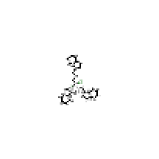 [Cl][Zr]([Cl])([CH2]CCC1C=Cc2ccccc21)[SiH](CC1C=Cc2ccccc21)CC1C=Cc2ccccc21